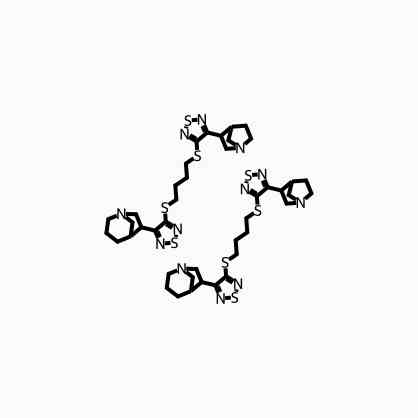 C(CCSc1nsnc1C1CN2CCC1C2)CSc1nsnc1C1CN2CCCC1C2.C(CCSc1nsnc1C1CN2CCC1C2)CSc1nsnc1C1CN2CCCC1C2